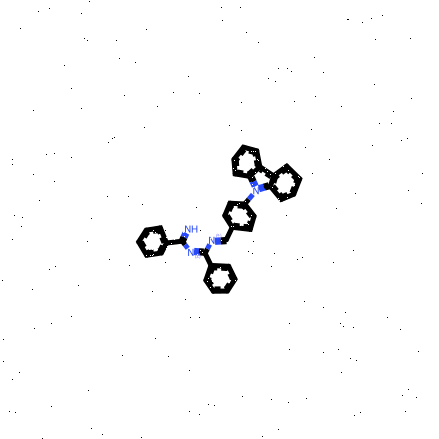 N=C(/N=C(\N=C\c1ccc(-n2c3ccccc3c3ccccc32)cc1)c1ccccc1)c1ccccc1